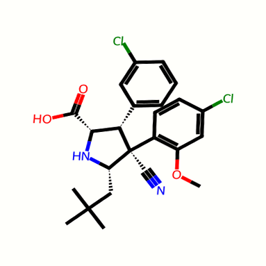 COc1cc(Cl)ccc1[C@@]1(C#N)[C@H](CC(C)(C)C)N[C@H](C(=O)O)[C@@H]1c1cccc(Cl)c1